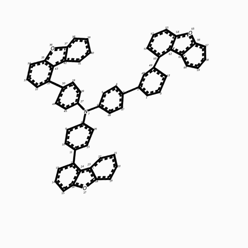 c1cc(-c2ccc(N(c3ccc(-c4cccc5oc6ccccc6c45)cc3)c3ccc(-c4cccc5oc6ccccc6c45)cc3)cc2)cc(-c2cccc3oc4ccccc4c23)c1